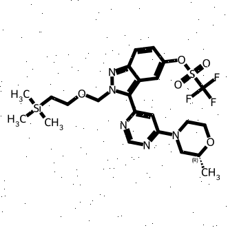 C[C@@H]1CN(c2cc(-c3c4cc(OS(=O)(=O)C(F)(F)F)ccc4nn3COCC[Si](C)(C)C)ncn2)CCO1